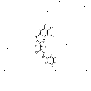 CC1=CC2CCC(C(C)(C)C(=O)OCc3ccccc3)OC2C(F)=C1F